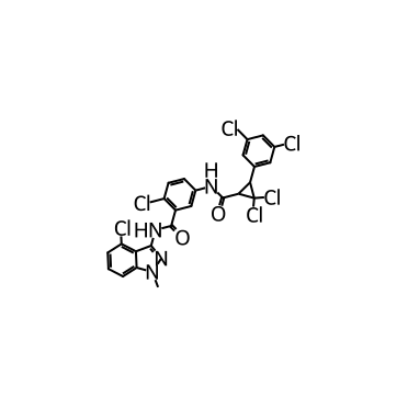 Cn1nc(NC(=O)c2cc(NC(=O)C3C(c4cc(Cl)cc(Cl)c4)C3(Cl)Cl)ccc2Cl)c2c(Cl)cccc21